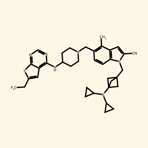 Cc1c(CN2CCC(Nc3ncnc4sc(CC(F)(F)F)cc34)CC2)ccc2c1cc(C#N)n2CC12CC(N(C3CC3)C3CC3)(C1)C2